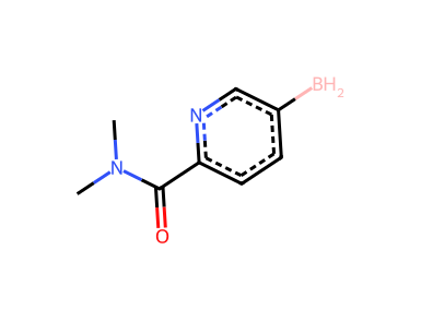 Bc1ccc(C(=O)N(C)C)nc1